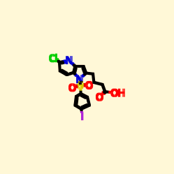 O=C(O)CCCc1cc2nc(Cl)ccc2n1S(=O)(=O)c1ccc(I)cc1